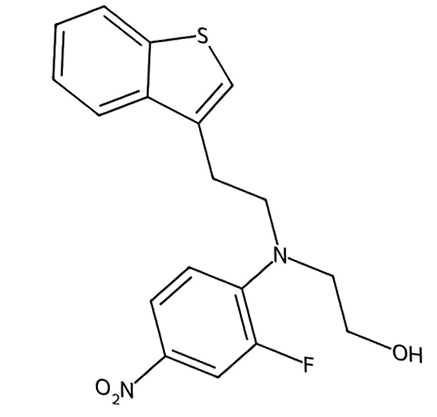 O=[N+]([O-])c1ccc(N(CCO)CCc2csc3ccccc23)c(F)c1